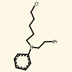 CC(C)CCN(CCCCCCl)c1ccccc1